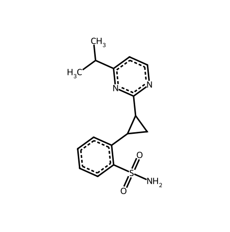 CC(C)c1ccnc(C2CC2c2ccccc2S(N)(=O)=O)n1